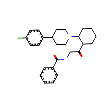 O=C(NCC(=O)C1CCCCC1N1CCC(c2ccc(Cl)cc2)CC1)c1ccccc1